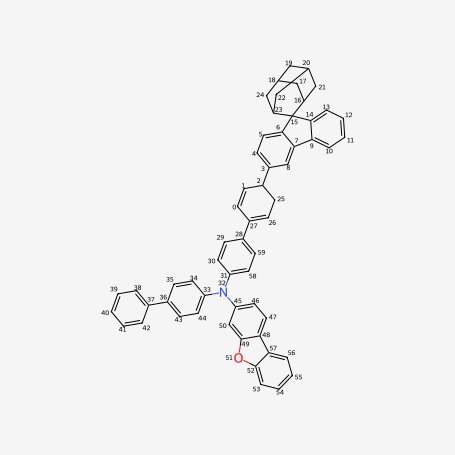 C1=CC(c2ccc3c(c2)-c2ccccc2C32C3CC4CC(C3)CC2C4)CC=C1c1ccc(N(c2ccc(-c3ccccc3)cc2)c2ccc3c(c2)oc2ccccc23)cc1